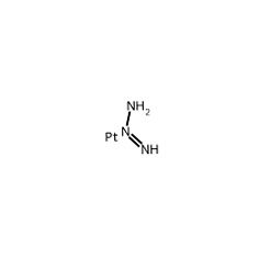 N=NN.[Pt]